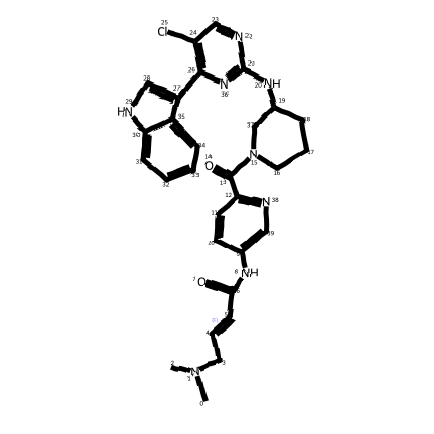 CN(C)C/C=C/C(=O)Nc1ccc(C(=O)N2CCCC(Nc3ncc(Cl)c(-c4c[nH]c5ccccc45)n3)C2)nc1